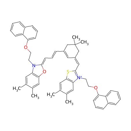 Cc1cc2c(cc1C)N(CCOc1cccc3ccccc13)C(=CC=CC1=CC(=Cc3sc4cc(C)c(C)cc4[n+]3CCOc3cccc4ccccc34)CC(C)(C)C1)O2